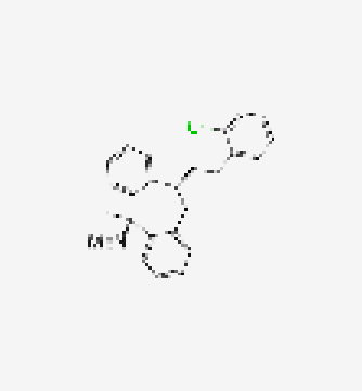 CN[C@]1(C)c2ccccc2C[C@H](CCc2ccccc2Cl)c2ccccc21